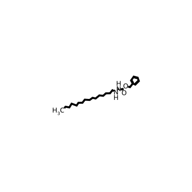 CCCCCCCCCCCCCCCCNNC(=O)OCc1ccccc1